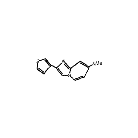 CNc1ccn2cc(-c3ccsc3)nc2c1